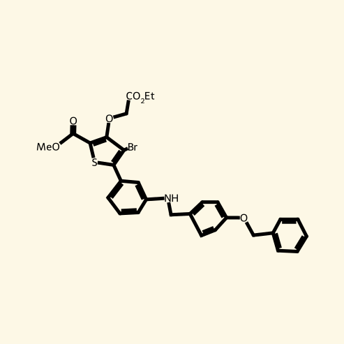 CCOC(=O)COc1c(C(=O)OC)sc(-c2cccc(NCc3ccc(OCc4ccccc4)cc3)c2)c1Br